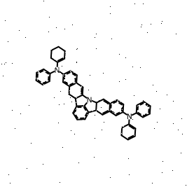 C1=CCCC(N(c2ccccc2)c2ccc3c(c2)=CC2c4cccc5c4N(C4=Cc6ccc(N(C7=CCCCC7)c7ccccc7)cc6CC45)C2C=3)=C1